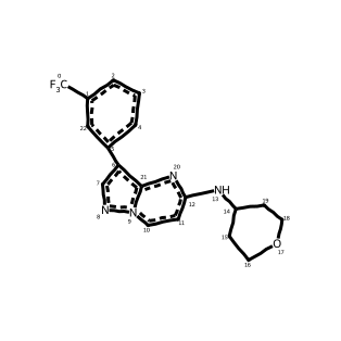 FC(F)(F)c1cccc(-c2cnn3ccc(NC4CCOCC4)nc23)c1